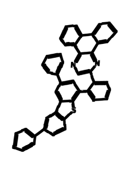 c1ccc(-c2ccc3sc4c(-c5ccccc5-c5cnc6c7ccccc7c7ccccc7c6n5)cc(-c5ccccc5)cc4c3c2)cc1